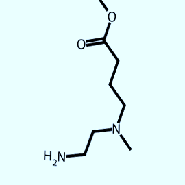 COC(=O)CCCN(C)CCN